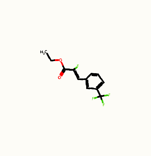 CCOC(=O)C(F)=Cc1cccc(C(F)(F)F)c1